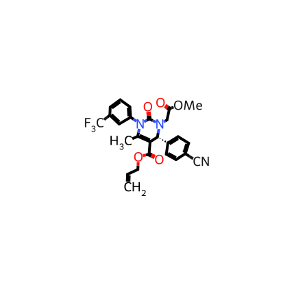 C=CCOC(=O)C1=C(C)N(c2cccc(C(F)(F)F)c2)C(=O)N(CC(=O)OC)[C@@H]1c1ccc(C#N)cc1